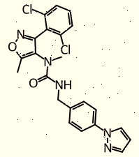 Cc1onc(-c2c(Cl)cccc2Cl)c1N(C)C(=O)NCc1ccc(-n2cccn2)cc1